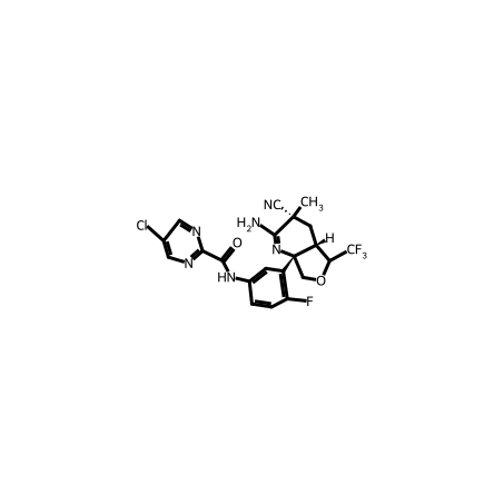 C[C@@]1(C#N)C[C@@H]2C(C(F)(F)F)OC[C@]2(c2cc(NC(=O)c3ncc(Cl)cn3)ccc2F)N=C1N